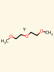 COCCOCCOC.[Y]